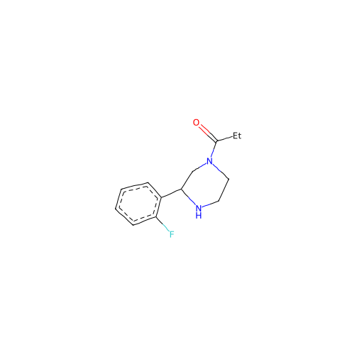 CCC(=O)N1CCNC(c2ccccc2F)C1